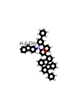 CC1(C)c2ccccc2-c2ccc(N(c3ccc(-c4cccc5c4-c4ccccc4[C@]54c5ccccc5-c5c(-c6ccccc6)cccc54)cc3)c3ccc(-c4ccccc4)cc3-c3ccccc3)cc21